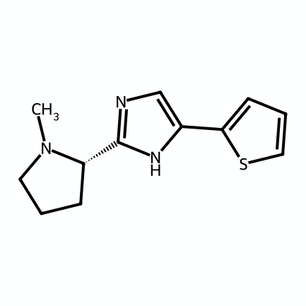 CN1CCC[C@H]1c1ncc(-c2cccs2)[nH]1